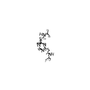 CC(C)NCSc1ncnc(SCNC(C)C)n1